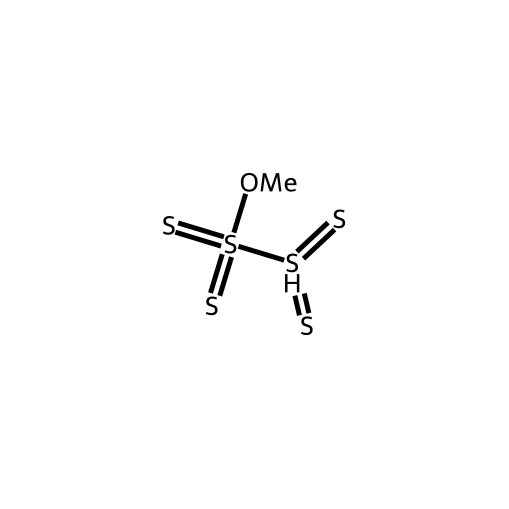 COS(=S)(=S)[SH](=S)=S